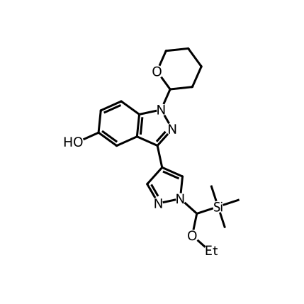 CCOC(n1cc(-c2nn(C3CCCCO3)c3ccc(O)cc23)cn1)[Si](C)(C)C